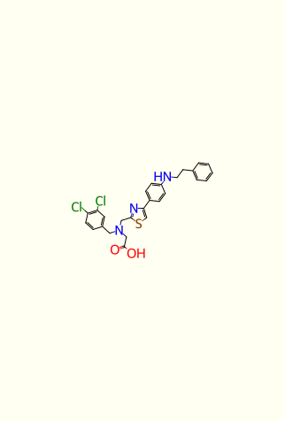 O=C(O)CN(Cc1ccc(Cl)c(Cl)c1)Cc1nc(-c2ccc(NCCc3ccccc3)cc2)cs1